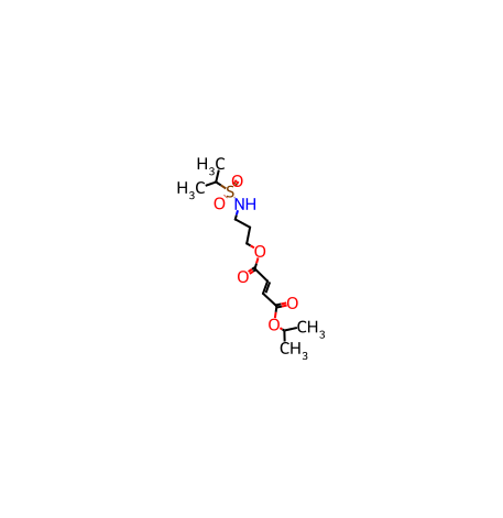 CC(C)OC(=O)/C=C/C(=O)OCCCNS(=O)(=O)C(C)C